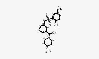 Cc1ccc(C)c(S(=O)(=O)Cc2cncc(C(=O)N3CCC(C)CC3)c2)c1